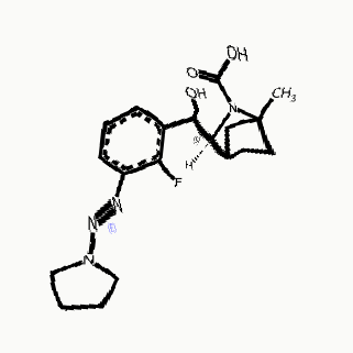 CC12CC(C1)[C@@H](C(O)c1cccc(/N=N/N3CCCC3)c1F)N2C(=O)O